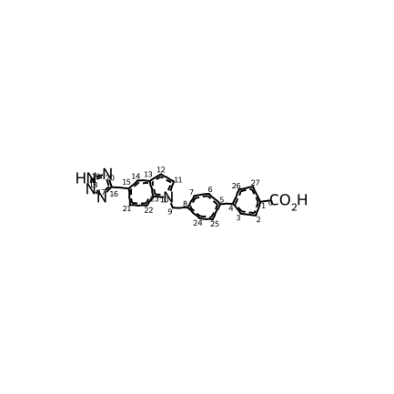 O=C(O)c1ccc(-c2ccc(Cn3ccc4cc(-c5nn[nH]n5)ccc43)cc2)cc1